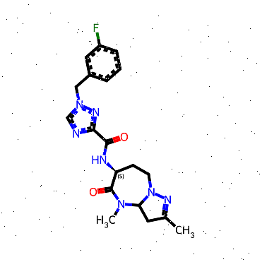 CC1=NN2CC[C@H](NC(=O)c3ncn(Cc4cccc(F)c4)n3)C(=O)N(C)C2C1